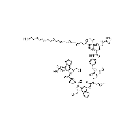 COCCN(CCN(CCOC)C(=O)Oc1cc2c(c3ccccc13)C(CCl)CN2C(=O)c1ccc(C(=O)N2CC(CCl)c3c2cc(OP(=O)(O)O)c2ccccc32)s1)C(=O)OCc1ccc(NC(=O)C(CCCNC(N)=O)NC(=O)C(NC(=O)CCOCCOCCOCCOCCOCCOCCN)C(C)C)cc1